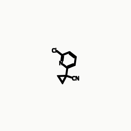 N#CC1(c2cccc(Cl)n2)CC1